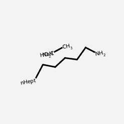 CC(=O)O.CCCCCCCCCCCCN.[NaH]